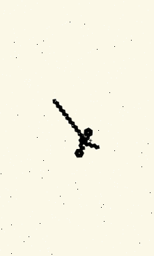 CCCCCCCCCCCCCCCCCCCn1cc(CC(C)c2ccccc2)[n+](CCCCCC)c1Cc1ccccc1